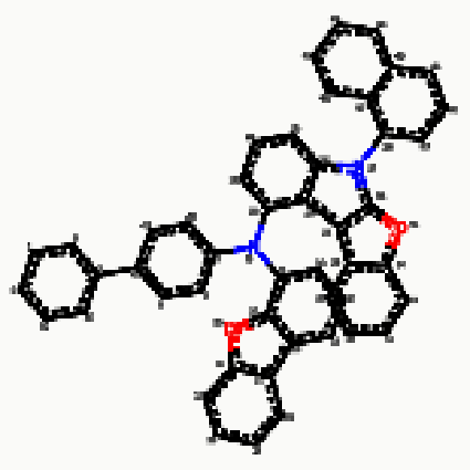 c1ccc(-c2ccc(N(c3cccc4c3oc3ccccc34)c3cccc4c3c3c5ccccc5oc3n4-c3cccc4ccccc34)cc2)cc1